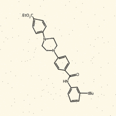 CCOC(=O)c1ccc(N2CCN(c3ccc(C(=O)Nc4cccc(C(C)(C)C)c4)cc3)CC2)cc1